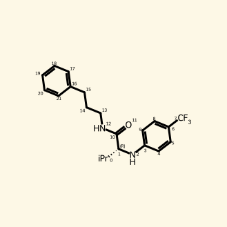 CC(C)[C@@H](Nc1ccc(C(F)(F)F)cc1)C(=O)NCCCc1ccccc1